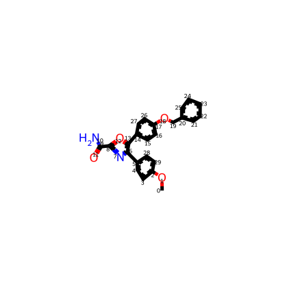 COc1ccc(-c2nc(C(N)=O)oc2-c2ccc(OCc3ccccc3)cc2)cc1